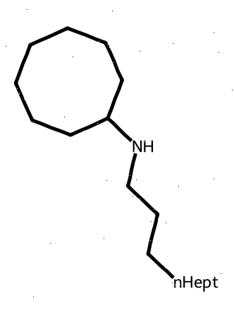 CCCCCCCCCCNC1CCCCCCC1